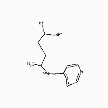 CCC(CCC(C)Nc1ccncc1)C(C)C